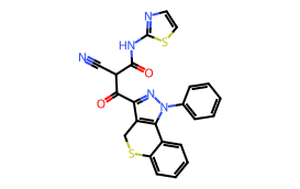 N#CC(C(=O)Nc1nccs1)C(=O)c1nn(-c2ccccc2)c2c1CSc1ccccc1-2